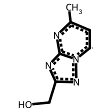 Cc1c[c]n2nc(CO)nc2n1